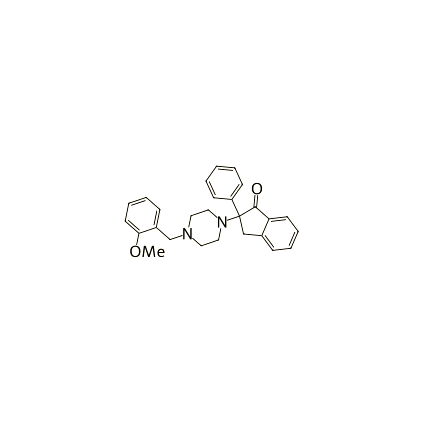 COc1ccccc1CN1CCN(C2(c3ccccc3)Cc3ccccc3C2=O)CC1